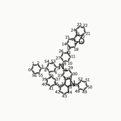 c1ccc(-c2ccc(N(c3ccc(-c4ccc5c(c4)oc4ccccc45)cc3)c3ccc4c(c3)c3c(-c5ccccc5)cccc3n4-c3ccccc3)cc2)cc1